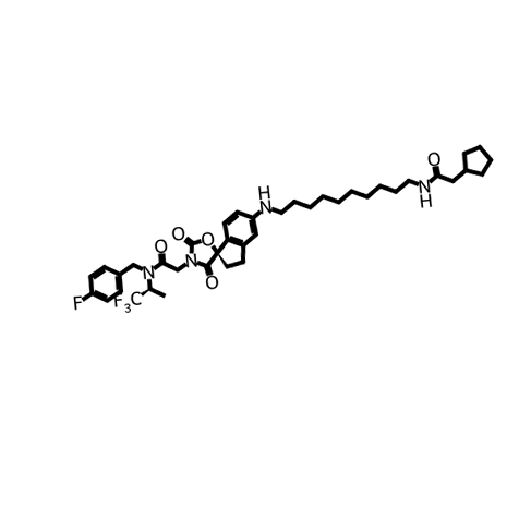 C[C@H](N(Cc1ccc(F)cc1)C(=O)CN1C(=O)O[C@@]2(CCc3cc(NCCCCCCCCCCNC(=O)CC4CCCC4)ccc32)C1=O)C(F)(F)F